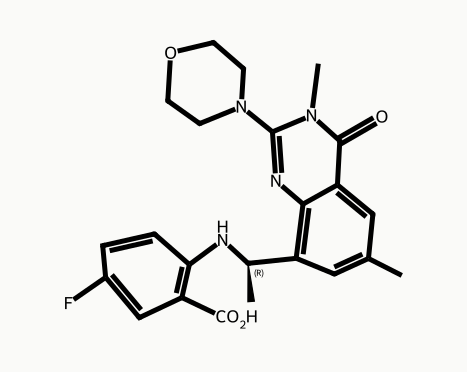 Cc1cc([C@@H](C)Nc2ccc(F)cc2C(=O)O)c2nc(N3CCOCC3)n(C)c(=O)c2c1